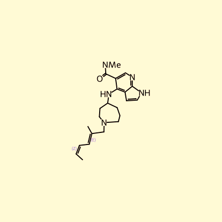 C/C=C\C=C(/C)CN1CCCC(Nc2c(C(=O)NC)cnc3[nH]ccc23)CC1